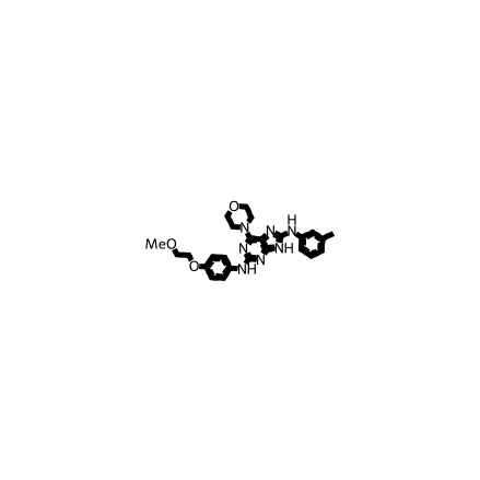 COCCOc1ccc(Nc2nc(N3CCOCC3)c3nc(Nc4cccc(C)c4)[nH]c3n2)cc1